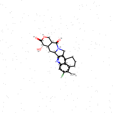 Cc1c(F)cc2nc3c(c4c2c1CCC4)CN1C(=O)C2COC(=O)[C@@H](O)C2CC31